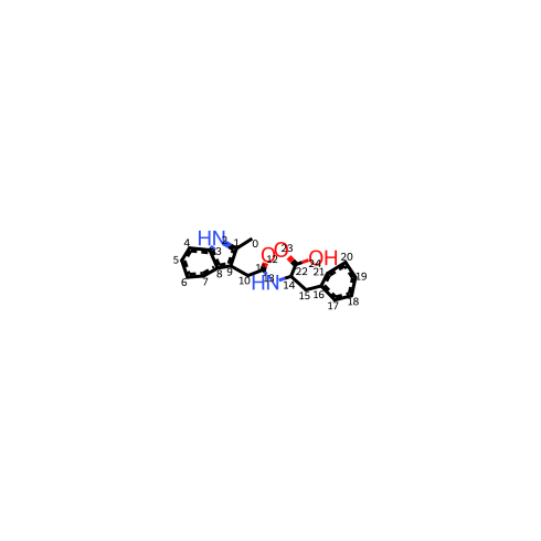 Cc1[nH]c2ccccc2c1CC(=O)NC(Cc1ccccc1)C(=O)O